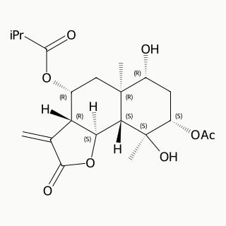 C=C1C(=O)O[C@H]2[C@H]1[C@H](OC(=O)C(C)C)C[C@@]1(C)[C@H](O)C[C@H](OC(C)=O)[C@@](C)(O)[C@H]21